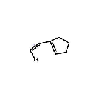 CC/C=[C]\C1=CCCC1